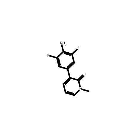 Cn1cccc(-c2cc(F)c(N)c(F)c2)c1=O